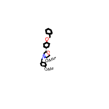 COc1ccc(CN2CCO[C@@H](c3ccc(OCc4ccccc4)cc3)C2)c(OC)c1